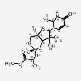 COC(=O)[C@H](C)NP1(=O)OC[C@H]2O[C@@H](N3C=CC(=O)NC3S)C(C)(O)C2O1